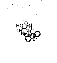 COc1nc(=O)c(O)c2n1C(C(c1ccccc1)c1ccccc1Br)CN(C)C2=O